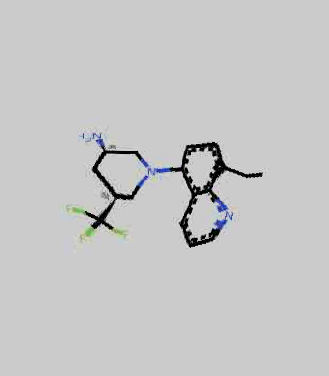 Cc1ccc(N2C[C@H](N)C[C@H](C(F)(F)F)C2)c2cccnc12